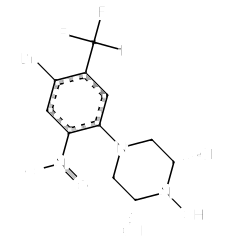 C[C@@H]1CN(c2cc(C(F)(F)F)c(Br)cc2[N+](=O)[O-])C[C@H](C)N1C